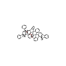 c1ccc(-c2cc(-c3ccccc3)nc(-c3ccc(-c4cccc5c4C4(c6ccccc6C6(c7ccccc7-c7ccccc76)c6ccccc64)c4ccc6c(sc7ccccc76)c4-5)cc3)n2)cc1